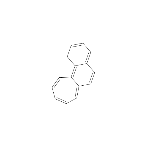 C1=CC=c2ccc3c(c2C=C1)CC=CC=3